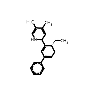 CC[C@@H]1CC=C(c2ccccc2)C=C1C1C=C(C)C(C)=CN1